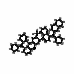 CC1(C)c2cc3c(cc2-c2ccc(N(c4ccccc4)c4ccc5ccccc5c4)c4cccc1c24)Oc1cccc2c1B3c1ccccc1N2c1ccccc1